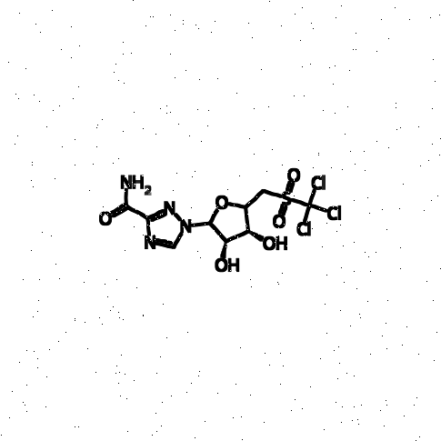 NC(=O)c1ncn(C2OC(CS(=O)(=O)C(Cl)(Cl)Cl)[C@@H](O)[C@H]2O)n1